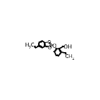 C=Cc1ccc2c(c1)OB(Oc1cccc(C=C)c1CO)O2